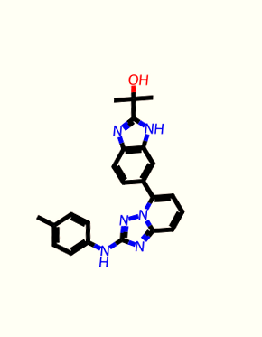 Cc1ccc(Nc2nc3cccc(-c4ccc5nc(C(C)(C)O)[nH]c5c4)n3n2)cc1